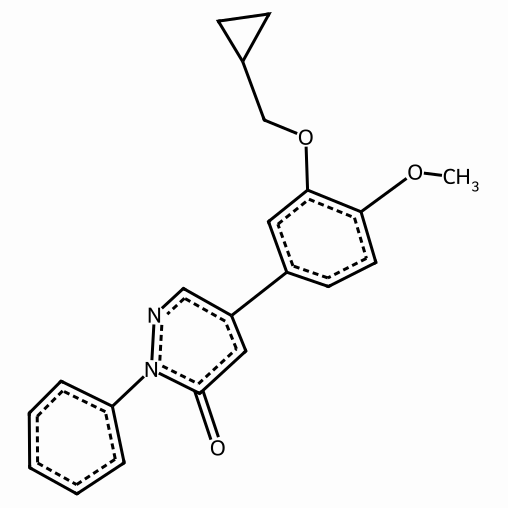 COc1ccc(-c2cnn(-c3ccccc3)c(=O)c2)cc1OCC1CC1